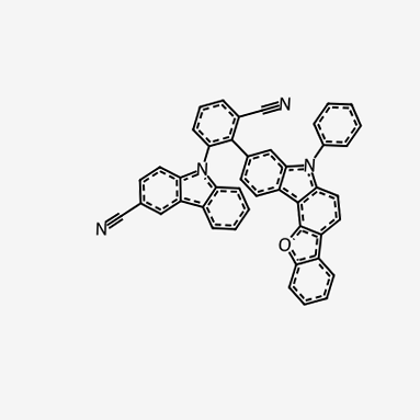 N#Cc1ccc2c(c1)c1ccccc1n2-c1cccc(C#N)c1-c1ccc2c3c4oc5ccccc5c4ccc3n(-c3ccccc3)c2c1